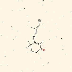 CC/C=C(C)/C=C/C1=C(C)C(=O)CCC1(C)C